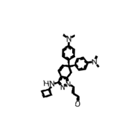 CN(C)c1ccc(C2(c3ccc(N(C)C)cc3)C=Cc3c(NC4CCC4)nn(C=CC=O)c3C2)cc1